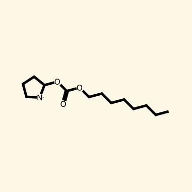 CCCCCCCCOC(=O)OC1CCC[N]1